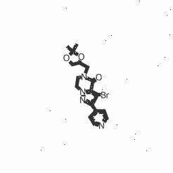 CC1(C)OCC(CN2CCn3nc(-c4ccncc4)c(Br)c3C2=O)O1